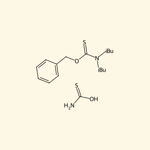 CCC(C)N(C(=S)OCc1ccccc1)C(C)CC.NC(O)=S